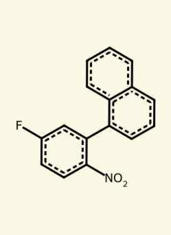 O=[N+]([O-])c1ccc(F)cc1-c1cccc2ccccc12